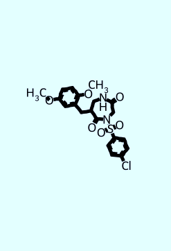 COc1ccc(OC)c(CC2CNC(=O)CN(S(=O)(=O)c3ccc(Cl)cc3)C2=O)c1